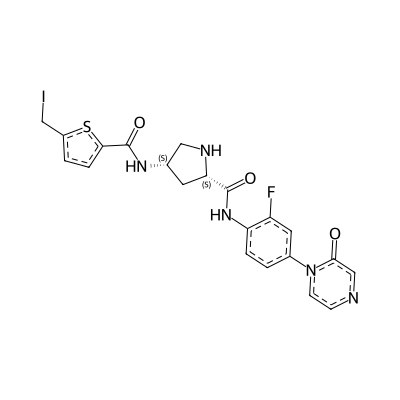 O=C(N[C@@H]1CN[C@H](C(=O)Nc2ccc(-n3ccncc3=O)cc2F)C1)c1ccc(CI)s1